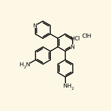 Cl.Cl.Nc1ccc(-c2nccc(-c3ccncc3)c2-c2ccc(N)cc2)cc1